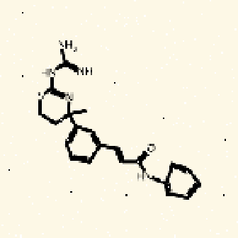 CC1(c2cccc(/C=C/C(=O)Nc3ccccc3)c2)CCSC(NC(=N)N)=N1